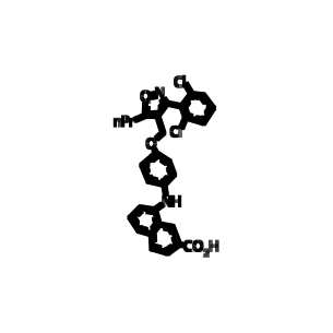 CCCc1onc(-c2c(Cl)cccc2Cl)c1COc1ccc(Nc2cccc3ccc(C(=O)O)cc23)cc1